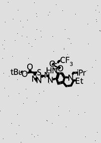 CCC1CCc2cc(N=Nc3nnc(C(=O)OC(C)(C)C)s3)c(NS(=O)(=O)CC(F)(F)F)cc2N1CC(C)C